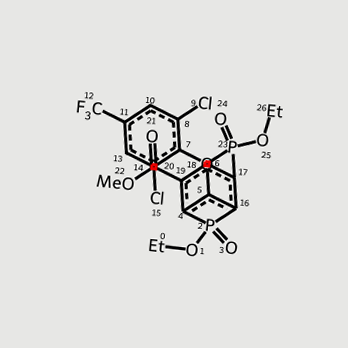 CCOP1(=O)c2c(Oc3c(Cl)cc(C(F)(F)F)cc3Cl)c1c1c(c2C(=O)OC)P1(=O)OCC